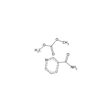 COC(=O)OC.NC(=O)c1cccnc1